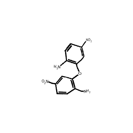 Nc1ccc([N+](=O)[O-])cc1Oc1cc([N+](=O)[O-])ccc1N